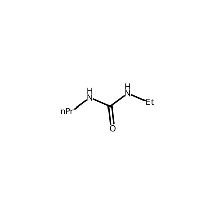 [CH2]CCNC(=O)NCC